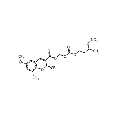 Cc1cc(OC(F)(F)F)cc2c1O[C@H](C(F)(F)F)C(C(=O)OCOC(=O)OCCC(C)O[N+](=O)[O-])=C2